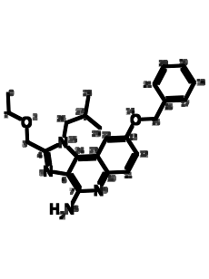 CCOCc1nc2c(N)nc3ccc(OCc4ccccc4)cc3c2n1C[C](C)C